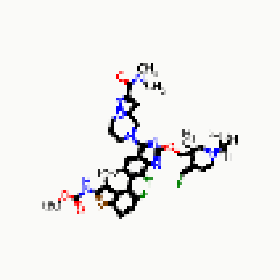 [2H]C([2H])([2H])N1CC/C(=C\F)[C@](C)(COc2nc(N3CCCn4nc(C(=O)N(C)C)cc4C3)c3cc(C(F)(F)F)c(-c4c(F)ccc5sc(NC(=O)OC(C)(C)C)c(C#N)c45)c(F)c3n2)C1